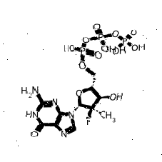 C[C@@]1(F)[C@H](O)[C@@H](COP(=O)(O)OP(=O)(O)OP(=O)(O)O)O[C@H]1n1cnc2c(=O)[nH]c(N)nc21